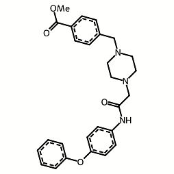 COC(=O)c1ccc(CN2CCN(CC(=O)Nc3ccc(Oc4ccccc4)cc3)CC2)cc1